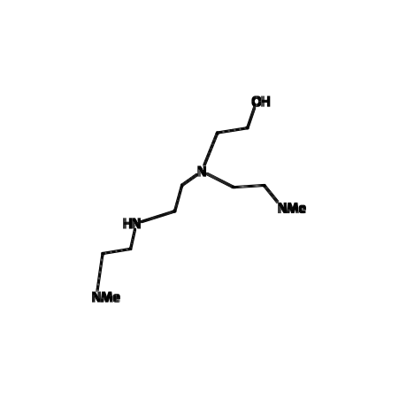 CNCCNCCN(CCO)CCNC